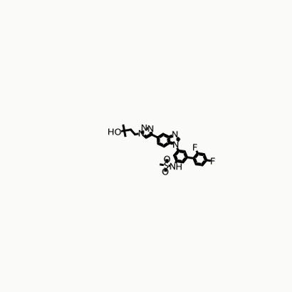 CC(C)(O)CCn1cc(-c2ccc3c(c2)ncn3-c2cc(NS(C)(=O)=O)cc(-c3ccc(F)cc3F)c2)nn1